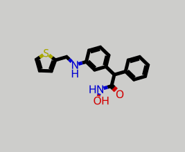 O=C(NO)C(c1ccccc1)c1cccc(NCc2cccs2)c1